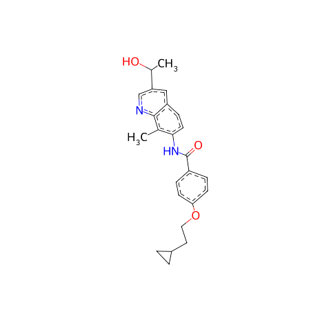 Cc1c(NC(=O)c2ccc(OCCC3CC3)cc2)ccc2cc(C(C)O)cnc12